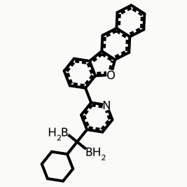 BC(B)(c1ccnc(-c2cccc3c2oc2cc4ccccc4cc23)c1)C1CCCCC1